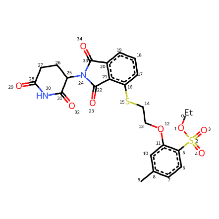 CCOS(=O)(=O)c1ccc(C)cc1OCCSc1cccc2c1C(=O)N(C1CCC(=O)NC1=O)C2=O